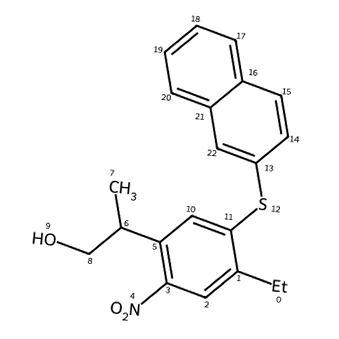 CCc1cc([N+](=O)[O-])c(C(C)CO)cc1Sc1ccc2ccccc2c1